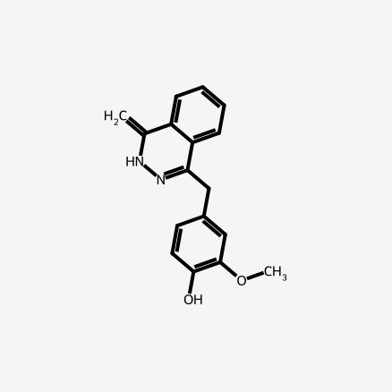 C=C1NN=C(Cc2ccc(O)c(OC)c2)c2ccccc21